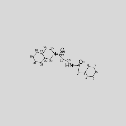 O=C(CC1CCCCC1)NCCC(=O)N1CCC2CCCCC2C1